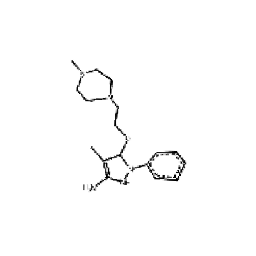 CC1=C(N)NN(c2ccccc2)C1OCCN1CCN(C)CC1